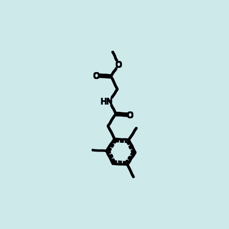 COC(=O)CNC(=O)Cc1c(C)cc(C)cc1C